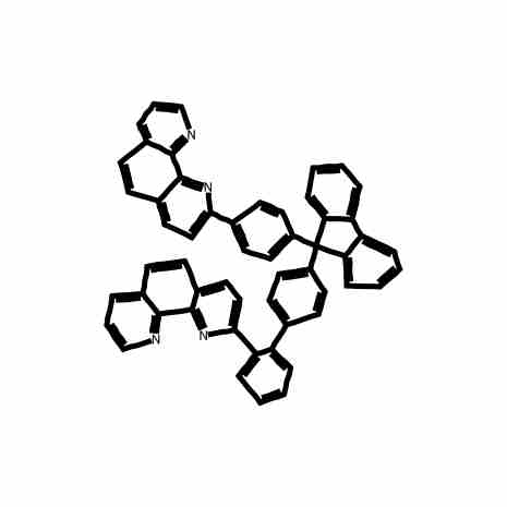 c1ccc(-c2ccc3ccc4cccnc4c3n2)c(-c2ccc(C3(c4ccc(-c5ccc6ccc7cccnc7c6n5)cc4)c4ccccc4-c4ccccc43)cc2)c1